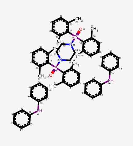 Cc1cccc(C)c1P(=O)(c1c(C)cccc1C)N1CCN(P(=O)(c2c(C)cccc2C)c2c(C)cccc2C)CC1.c1ccc(Pc2ccccc2)cc1.c1ccc(Pc2ccccc2)cc1